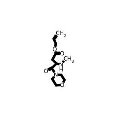 C=CCOC(=O)CC(NC)C(=O)N1CCOCC1